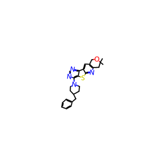 CC1(C)Cc2nc3sc4c(N5CCC(Cc6ccccc6)CC5)ncnc4c3cc2CO1